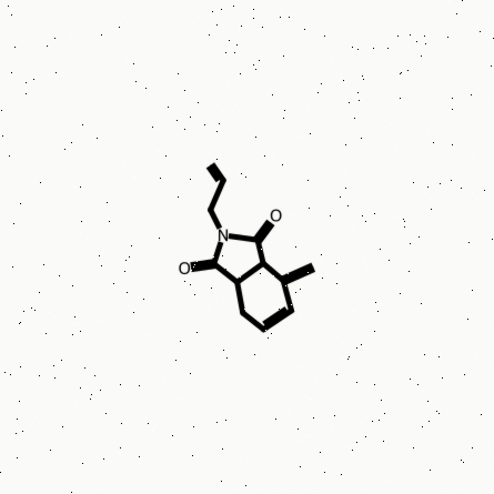 C=CCN1C(=O)C2CC=CC(=C)C2C1=O